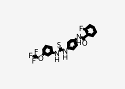 O=C(Nc1ccc(NC(=S)Nc2cccc(OC(F)(F)F)c2)cc1)c1ccccc1F